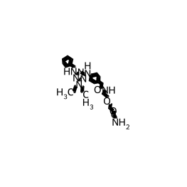 CCCN(CCC)c1nc(NCc2ccccc2)nc(Nc2ccc(CC(=O)NCCOCCOCCN)cc2)n1